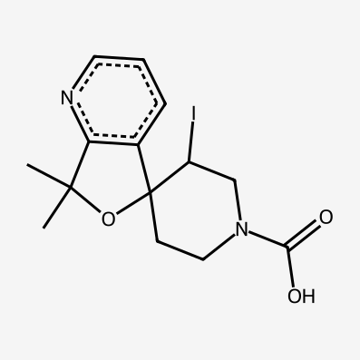 CC1(C)OC2(CCN(C(=O)O)CC2I)c2cccnc21